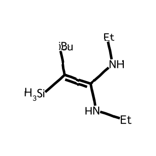 CCNC(NCC)=C([SiH3])C(C)CC